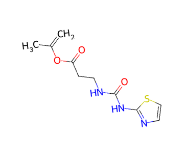 C=C(C)OC(=O)CCNC(=O)Nc1nccs1